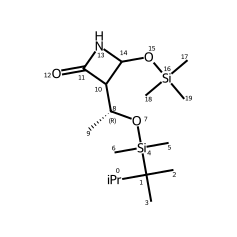 CC(C)C(C)(C)[Si](C)(C)O[C@H](C)C1C(=O)NC1O[Si](C)(C)C